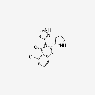 O=c1c2c(Cl)cccc2nc([C@@H]2CCCN2)n1-c1cc[nH]n1